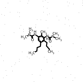 CCCCc1cc(NC(=O)N(C)C)c(C)c(NC(=O)N(C)C)c1CCCC